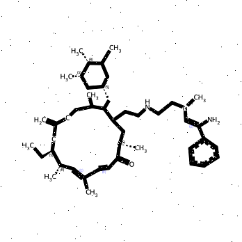 C=C1CCC(C)C(C[C@H]2CC(C)[C@@H](C)[C@@H](C)C2)C(CCNCCN(C)/C=C(\N)c2ccccc2)C[C@H](C)C(=O)/C=C/C(C)=C/[C@H](C)[C@@H](CC)C1